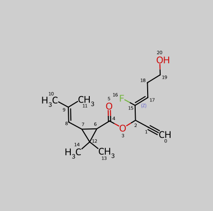 C#CC(OC(=O)C1C(C=C(C)C)C1(C)C)/C(F)=C/CCO